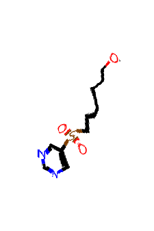 [O]CCCCCCS(=O)(=O)c1cncnc1